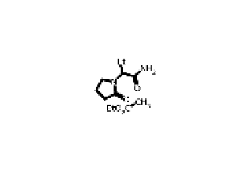 CCC(C(N)=O)N1CCCC1=O.CCOC(C)=O